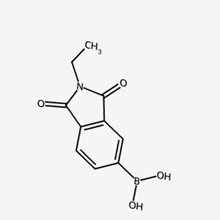 CCN1C(=O)c2ccc(B(O)O)cc2C1=O